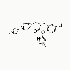 CN1CC(N2CC3C(CN(Cc4cccc(Cl)c4)C(=O)Oc4cn(C)cn4)C3C2)C1